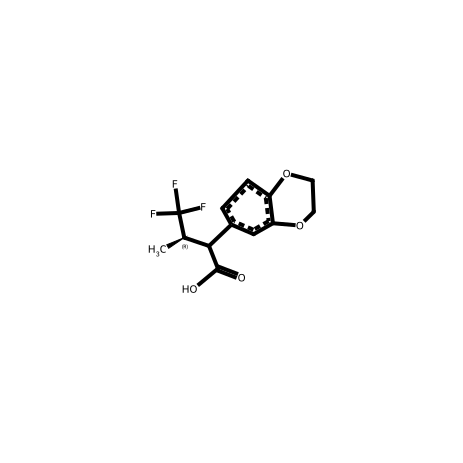 C[C@H](C(C(=O)O)c1ccc2c(c1)OCCO2)C(F)(F)F